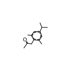 CC(=O)Cc1c(C)cc(C(C)C)cc1C